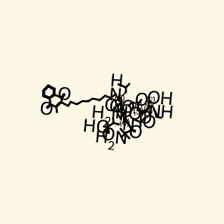 CC(=O)N[C@@H]1[C@@H](OC(C)CN(C(=O)C(C)(C)N)[C@H](CC(C)C(=O)O)C(N)=O)[C@H](O)[C@@H](COC(=O)[C@H](CC(C)C)NC(=O)CCCCCCCCC2=C(C)C(=O)c3ccccc3C2=O)O[C@@H]1O